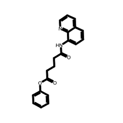 O=C(CCCC(=O)Oc1ccccc1)Nc1cccc2cccnc12